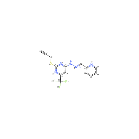 C#CCSc1nc(N/N=C/c2ccccn2)cc(C(F)(F)F)n1